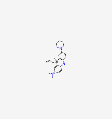 C=CC[Si]1(C)C2=CC(=[N+](C)C)C=CC2=Nc2ccc(N3CCCCC3)cc21